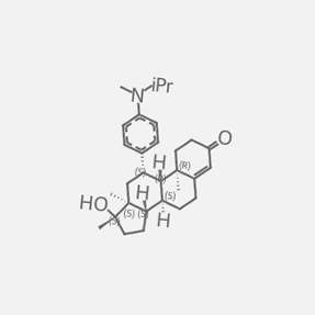 CC(C)N(C)c1ccc([C@H]2C[C@@]3(C)[C@@H](CC[C@]3(C)O)[C@@H]3CCC4=CC(=O)CC[C@]4(C)[C@H]32)cc1